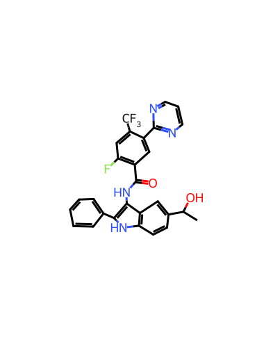 CC(O)c1ccc2[nH]c(-c3ccccc3)c(NC(=O)c3cc(-c4ncccn4)c(C(F)(F)F)cc3F)c2c1